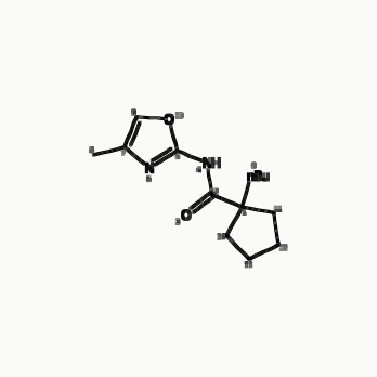 CCCCC1(C(=O)Nc2nc(C)co2)CCCC1